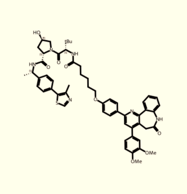 COc1ccc(-c2cc(-c3ccc(OCCCCCC(=O)N[C@H](C(=O)N4C[C@H](O)C[C@H]4C(=O)N[C@@H](C)c4ccc(-c5scnc5C)cc4)C(C)(C)C)cc3)nc3c2CC(=O)Nc2ccccc2-3)cc1OC